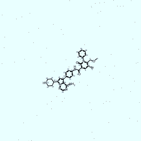 COCc1c(Br)cc(C(=O)Nc2ccc(-c3cc(C4CCNCC4)n4ncnc(N)c34)cc2)c(=O)n1-c1ccccc1